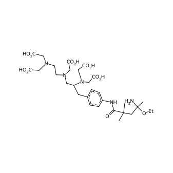 CCOC(C)(N)CC(C)(C)C(=O)Nc1ccc(CC(CN(CCN(CC(=O)O)CC(=O)O)CC(=O)O)N(CC(=O)O)CC(=O)O)cc1